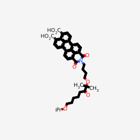 CC(C)OCCCCCC(=O)C(C)(C)OCCCCN1C(=O)c2ccc3c4ccc(C(=O)O)c5c(C(=O)O)ccc(c6ccc(c2c36)C1=O)c54